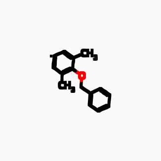 Cc1c[c]cc(C)c1OCc1ccccc1